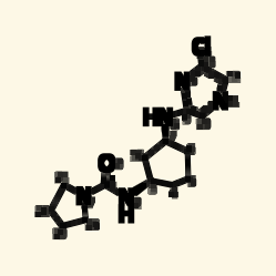 O=C(N[C@@H]1CCC[C@H](Nc2cncc(Cl)n2)C1)N1CCCC1